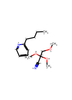 CCCCc1ccccn1.COCC(C#N)(OC)OC